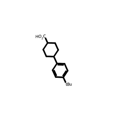 CC(C)(C)c1ccc(C2CCC(C(=O)O)CC2)cc1